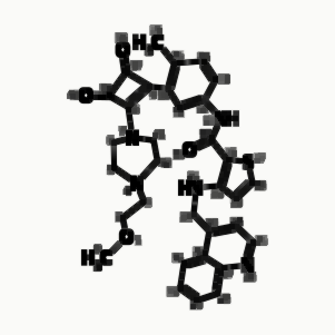 COCCN1CCN(c2c(-c3cc(NC(=O)c4sccc4NCc4ccnc5ccccc45)ccc3C)c(=O)c2=O)CC1